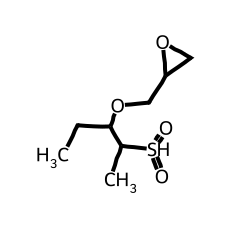 CCC(OCC1CO1)C(C)[SH](=O)=O